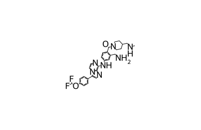 CNCC1CCN(C(=O)c2ccc(Nc3nccn4c(-c5ccc(OC(F)F)cc5)cnc34)cc2CN)CC1